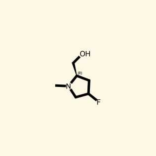 CN1CC(F)C[C@@H]1CO